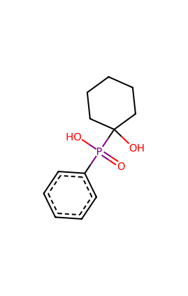 O=P(O)(c1ccccc1)C1(O)CCCCC1